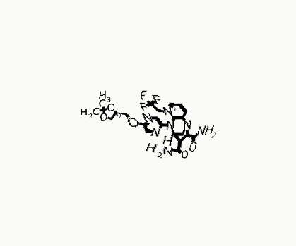 CC1(C)OC[C@H](COc2cnc(N3c4c(ccc[n+]4CC(F)(F)F)N4C[C@@H]3C(C(N)=O)C4C(N)=O)cn2)O1